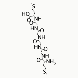 CSCCC(N)C(=O)NCC(=O)NCC(=O)NCC(=O)NCC(=O)NC(CCSC)C(=O)O